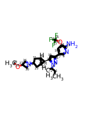 CCC(C)n1nc(-c2cnc(N)c(OC(F)(F)F)c2)cc1[C@H]1[C@@H]2CC(N3CC(OC)C3)C[C@@H]21